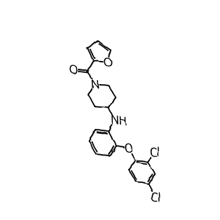 O=C(c1ccco1)N1CCC(Nc2ccccc2Oc2ccc(Cl)cc2Cl)CC1